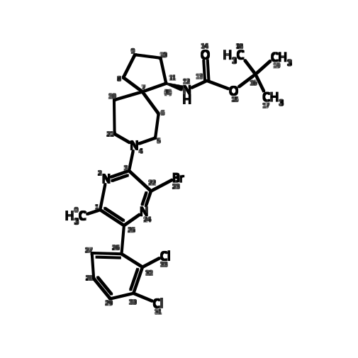 Cc1nc(N2CCC3(CCC[C@H]3NC(=O)OC(C)(C)C)CC2)c(Br)nc1-c1cccc(Cl)c1Cl